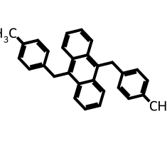 Cc1ccc(Cc2c3ccccc3c(Cc3ccc(C)cc3)c3ccccc23)cc1